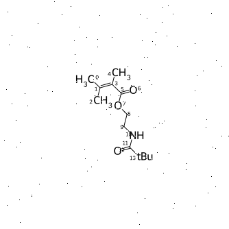 CC(C)=C(C)C(=O)OCCNC(=O)C(C)(C)C